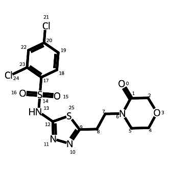 O=C1COCCN1CCc1nnc(NS(=O)(=O)c2ccc(Cl)cc2Cl)s1